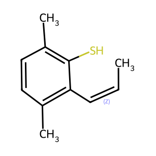 C/C=C\c1c(C)ccc(C)c1S